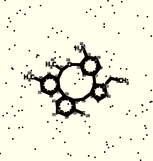 CCn1ncc2c1-c1cnc(N)c(c1)O[C@H](C)c1cc(C)ccc1-c1cncc(F)c1C2